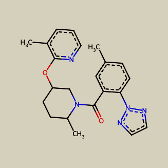 Cc1ccc(-n2nccn2)c(C(=O)N2CC(Oc3ncccc3C)CCC2C)c1